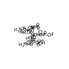 Nc1ccn([C@@H]2O[C@H](COP(=O)(O)O)[C@@H](OP(=O)(O)OC[C@H]3O[C@@H](n4cnc5c(N)ncnc54)[C@H](O)[C@@H]3OC(=O)CNC(=O)OCc3ccc(NC(=O)Cc4ccc(F)cc4)cc3)[C@H]2O)c(=O)n1